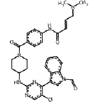 CN(C)C/C=C/C(=O)Nc1ccc(C(=O)N2CCC(Nc3ncc(Cl)c(-c4cn(C=O)c5ccccc45)n3)CC2)cc1